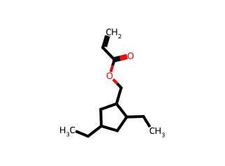 C=CC(=O)OCC1CC(CC)CC1CC